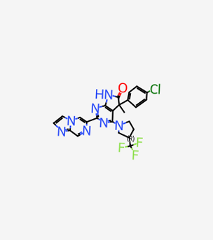 CC1(c2ccc(Cl)cc2)C(=O)Nc2nc(-c3cn4ccnc4cn3)nc(N3CC[C@@H](C(F)(F)F)C3)c21